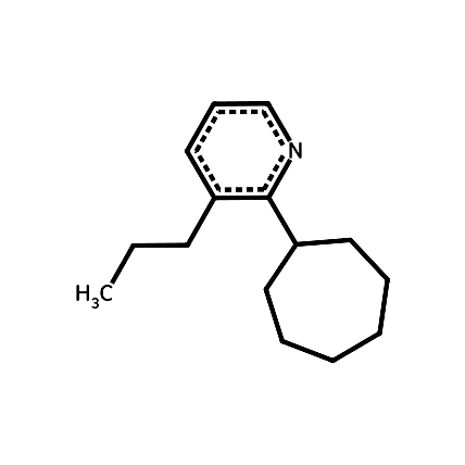 CCCc1cccnc1C1CCCCCC1